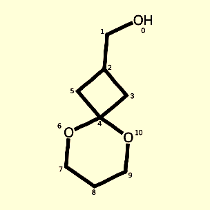 OCC1CC2(C1)OCCCO2